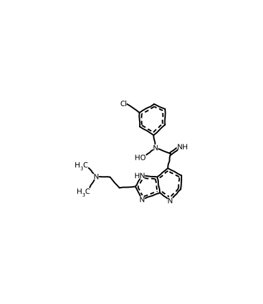 CN(C)CCc1nc2nccc(C(=N)N(O)c3cccc(Cl)c3)c2[nH]1